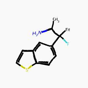 CCC(F)(c1ccc2sccc2c1)C(C)N